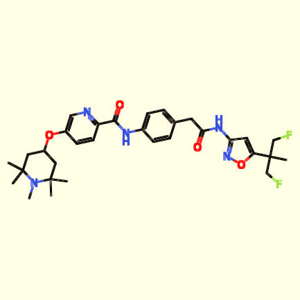 CN1C(C)(C)CC(Oc2ccc(C(=O)Nc3ccc(CC(=O)Nc4cc(C(C)(CF)CF)on4)cc3)nc2)CC1(C)C